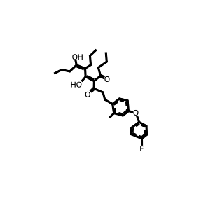 CCCC(=O)/C(C(=O)CCc1ccc(Oc2ccc(F)cc2)cc1C)=C(O)\C(CCC)=C(\O)CCC